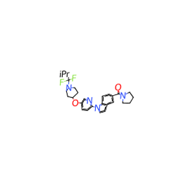 CC(C)C(F)(F)N1CCC(Oc2ccc(-n3ccc4cc(C(=O)N5CCCC5)ccc43)nc2)CC1